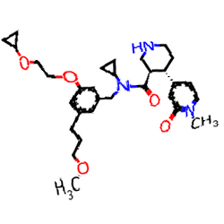 COCCCc1cc(CN(C(=O)[C@H]2CNCC[C@@H]2c2ccn(C)c(=O)c2)C2CC2)cc(OCCOC2CC2)c1